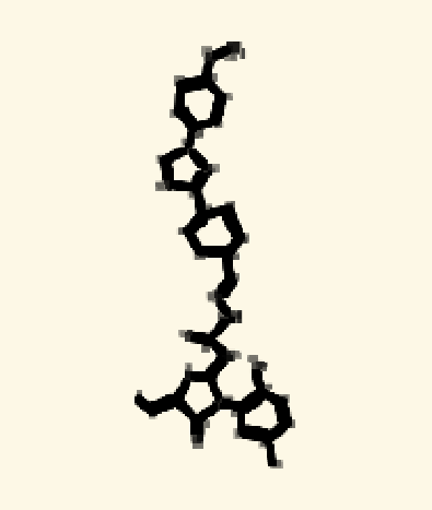 C/C=C1\S/C(=N\C(=O)N/N=C/c2ccc(-c3ncn(-c4ccc(OC(F)(F)F)cc4)n3)cc2)N(c2cc(C)ccc2C(C)C)C1=O